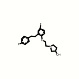 OC1CCN(CCOc2ccc(F)cc2CCc2ccc(F)cc2)C1